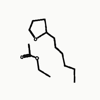 CCCCCCC1CCCO1.CCOC(C)=O